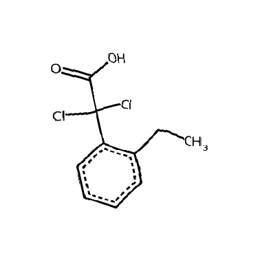 CCc1ccccc1C(Cl)(Cl)C(=O)O